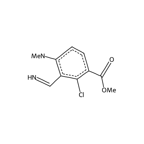 CNc1ccc(C(=O)OC)c(Cl)c1C=N